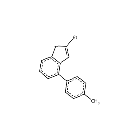 CCC1=Cc2c(cccc2-c2ccc(C)cc2)[CH]1